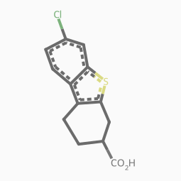 O=C(O)C1CCc2c(sc3cc(Cl)ccc23)C1